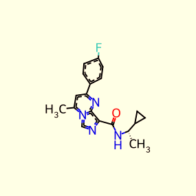 Cc1cc(-c2ccc(F)cc2)nc2c(C(=O)N[C@@H](C)C3CC3)ncn12